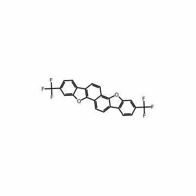 FC(F)(F)c1ccc2c(c1)oc1c2ccc2c1ccc1c3ccc(C(F)(F)F)cc3oc12